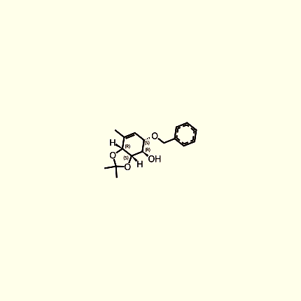 CC1=C[C@H](OCc2ccccc2)[C@@H](O)[C@@H]2OC(C)(C)O[C@H]12